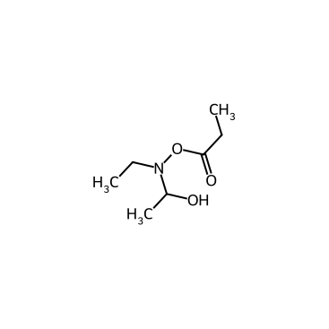 CCC(=O)ON(CC)C(C)O